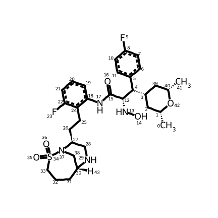 C[C@@H]1C[C@H](C(c2ccc(F)cc2)[C@H](NO)C(=O)Nc2cccc(F)c2CC[C@H]2CN[C@@H]3CCCS(=O)(=O)N2C3)C[C@H](C)O1